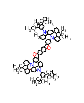 CC(C)(C)c1cc(-n2c3ccccc3c3c(N(c4ccc5c(c4)oc4cc6cc7c(cc6cc45)oc4cc(N(c5cccc6c5-c5ccccc5C6(C)C)c5cccc6c5c5ccccc5n6-c5cc(C(C)(C)C)cc(C(C)(C)C)c5)ccc47)c4cccc5c4-c4ccccc4C5(C)C)cccc32)cc(C(C)(C)C)c1